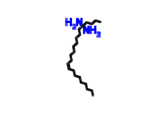 CCCCCCCC/C=C\CCCCCCCCC(N)(N)CCCC